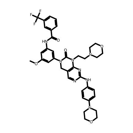 COc1cc(NC(=O)c2cccc(C(F)(F)F)c2)cc(N2Cc3cnc(Nc4ccc(N5CCOCC5)cc4)nc3N(CCN3CCOCC3)C2=O)c1